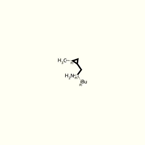 CC[C@@H](C)[C@H](N)CC1C[C@H]1C